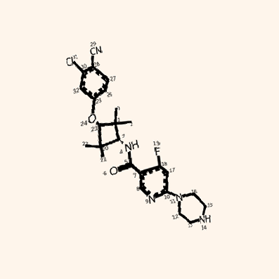 CC1(C)[C@H](NC(=O)c2cnc(N3CCNCC3)cc2F)C(C)(C)[C@H]1Oc1ccc(C#N)c(Cl)c1